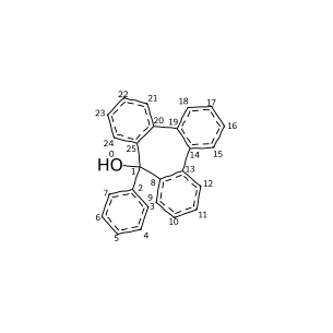 OC1(c2ccccc2)c2ccccc2-c2ccccc2-c2ccccc21